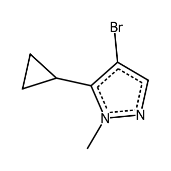 Cn1ncc(Br)c1C1CC1